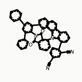 N#Cc1ccc(-c2cccc3c4ccccc4n(-c4cccc5c4C(=O)N(c4c(-c6ccccc6)cc(-c6ccccc6)cc4-c4ccccc4)C5=O)c23)c(C#N)c1